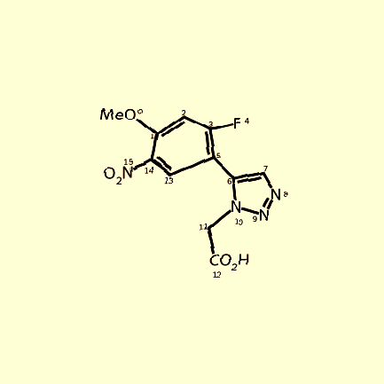 COc1cc(F)c(-c2cnnn2CC(=O)O)cc1[N+](=O)[O-]